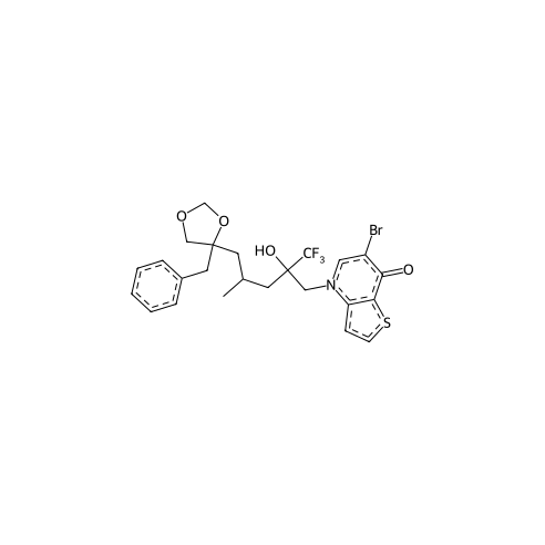 CC(CC1(Cc2ccccc2)COCO1)CC(O)(Cn1cc(Br)c(=O)c2sccc21)C(F)(F)F